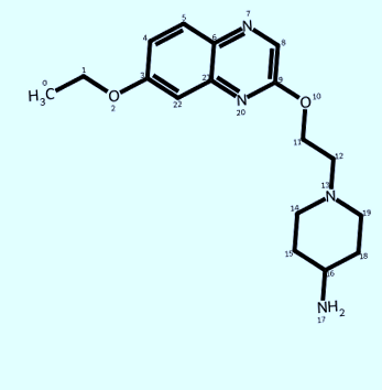 CCOc1ccc2ncc(OCCN3CCC(N)CC3)nc2c1